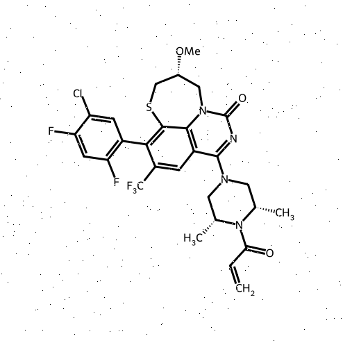 C=CC(=O)N1[C@H](C)CN(c2nc(=O)n3c4c(c(-c5cc(Cl)c(F)cc5F)c(C(F)(F)F)cc24)SC[C@H](OC)C3)C[C@@H]1C